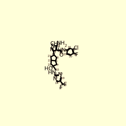 Cn1nc(C2CC3CC(O)(CNc4ncc(C(F)F)cn4)CC3C2)c(C(=O)Nc2ccc(F)c(Cl)c2)c1N